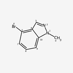 Cn1ncc2c(Br)cccc21